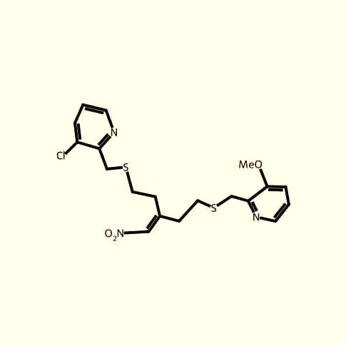 COc1cccnc1CSCC/C(=C/[N+](=O)[O-])CCSCc1ncccc1Cl